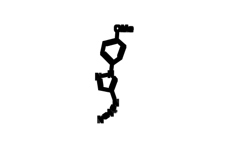 COc1ccc(-n2cc(N=[N+]=[N-])cn2)cc1